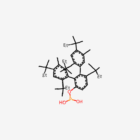 CCC(C)(C)c1cc(C(C)(C)CC)c(-c2c(OP(O)O)ccc(C(C)(C)CC)c2-c2cc(C)c(C(C)(C)CC)cc2C(C)(C)CC)cc1C